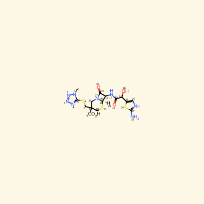 Cn1nnnc1SCC1(C(=O)O)CS[C@@H]2C(NC(=O)C(O)c3cnc(N)s3)C(=O)N2C1